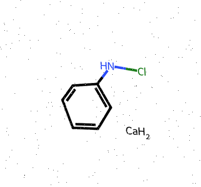 ClNc1ccccc1.[CaH2]